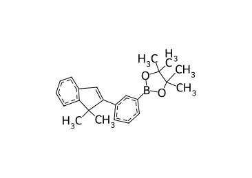 CC1(C)C(c2cccc(B3OC(C)(C)C(C)(C)O3)c2)=Cc2ccccc21